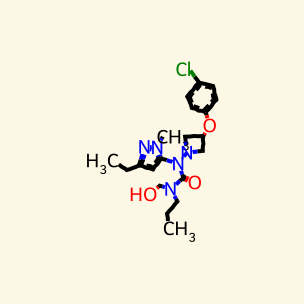 CCCN(CO)C(=O)N(c1cc(CC)nn1C)N1CC(Oc2ccc(Cl)cc2)C1